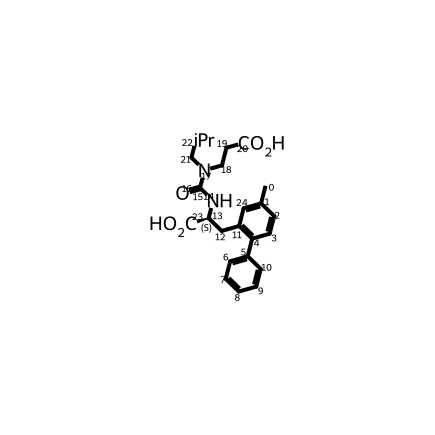 Cc1ccc(-c2ccccc2)c(C[C@H](NC(=O)N(CCC(=O)O)CC(C)C)C(=O)O)c1